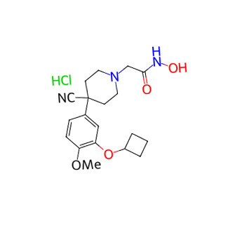 COc1ccc(C2(C#N)CCN(CC(=O)NO)CC2)cc1OC1CCC1.Cl